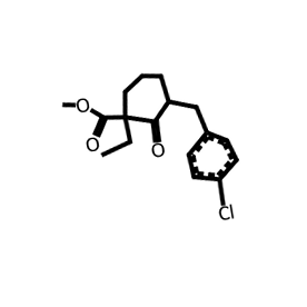 CCC1(C(=O)OC)CCCC(Cc2ccc(Cl)cc2)C1=O